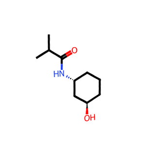 CC(C)C(=O)N[C@@H]1CCC[C@@H](O)C1